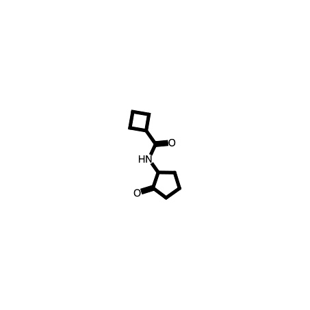 O=C(NC1CCCC1=O)C1CCC1